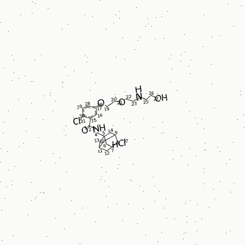 Cl.O=C(NCC12CC3CC(CC(C3)C1)C2)c1cc(OCCOCCNCCO)ccc1Cl